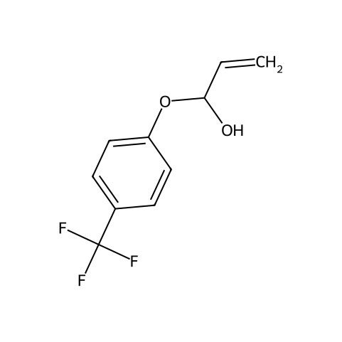 C=CC(O)Oc1ccc(C(F)(F)F)cc1